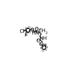 C=C(CCNC(=O)COc1ccccn1)NC(=O)COc1ccc(Cl)c(F)c1